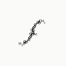 C=CC(=O)OCCCOc1ccc2cc(C(=O)Oc3ccc(OC(=O)c4ccc5cc(OCCCOC(=O)C=C)ccc5c4)c(C(C)=O)c3)ccc2c1